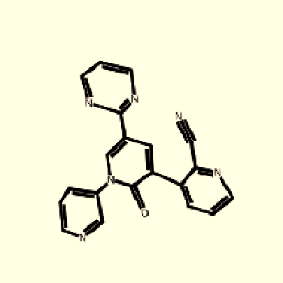 N#Cc1ncccc1-c1cc(-c2ncccn2)cn(-c2cccnc2)c1=O